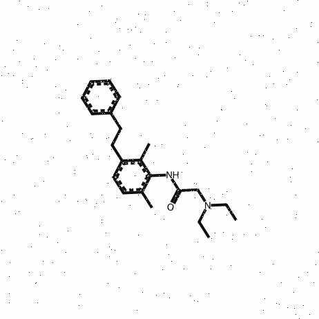 CCN(CC)CC(=O)Nc1c(C)ccc(CCc2ccccc2)c1C